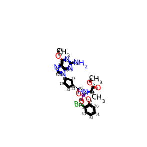 COC(=O)[C@H](C)NP(=O)(OC[C@@H]1C=C[C@H](n2cnc3c(OC)nc(N)nc32)C1)Oc1ccccc1Br